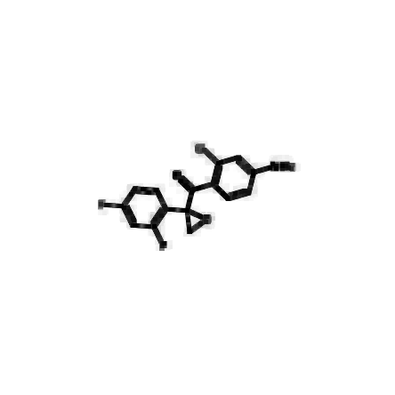 CC(=O)Nc1ccc(C(=O)C2(c3ccc(F)cc3F)CO2)c(Cl)c1